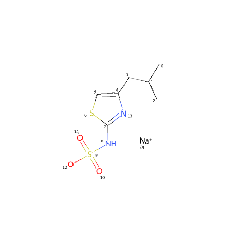 CC(C)Cc1csc(NS(=O)(=O)[O-])n1.[Na+]